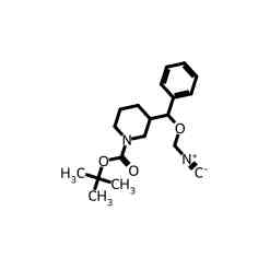 [C-]#[N+]COC(c1ccccc1)C1CCCN(C(=O)OC(C)(C)C)C1